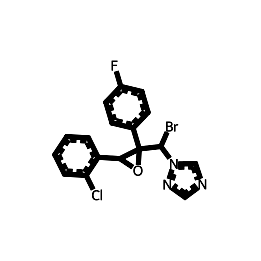 Fc1ccc(C2(C(Br)n3cncn3)OC2c2ccccc2Cl)cc1